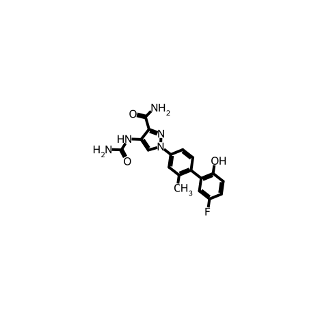 Cc1cc(-n2cc(NC(N)=O)c(C(N)=O)n2)ccc1-c1cc(F)ccc1O